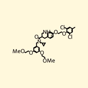 COCCOc1cc(CN(C(=O)C(CN)Cc2ccc(OCCOc3c(Cl)cc(C)cc3Cl)cc2)C2CC2)cc(OCCOC)c1